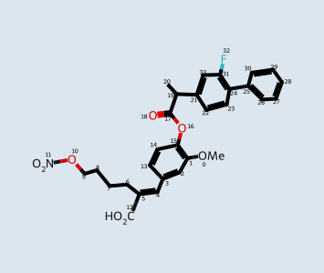 COc1cc(C=C(CCCCO[N+](=O)[O-])C(=O)O)ccc1OC(=O)C(C)c1ccc(-c2ccccc2)c(F)c1